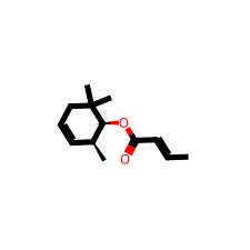 C/C=C/C(=O)O[C@H]1[C@@H](C)C=CCC1(C)C